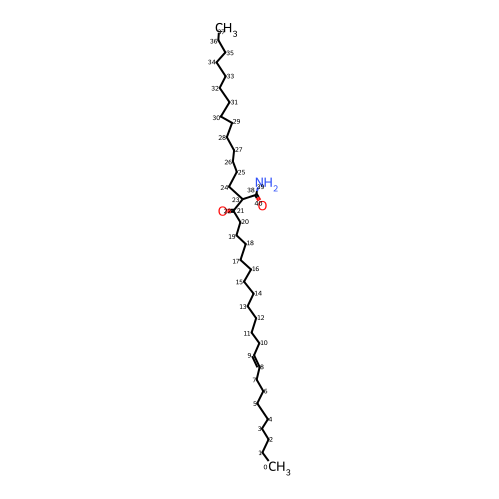 CCCCCCCCC=CCCCCCCCCCCCC(=O)C(CCCCCCCCCCCCCC)C(N)=O